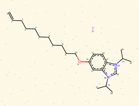 C=CCCCCCCCCCOc1ccc2c(c1)[n+](C(C)C)cn2C(C)C.[I-]